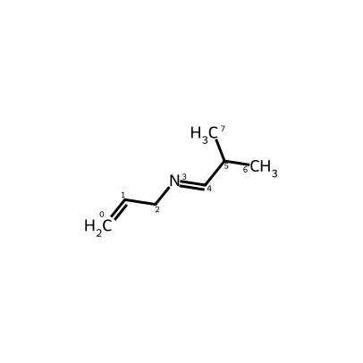 C=CCN=CC(C)C